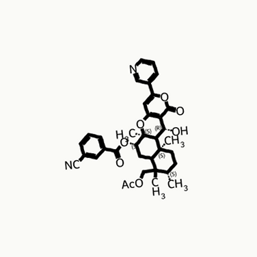 CC(=O)OCC1(C)C2C[C@H](OC(=O)c3cccc(C#N)c3)[C@@]3(C)Oc4cc(-c5cccnc5)oc(=O)c4[C@H](O)C3[C@@]2(C)CC[C@@H]1C